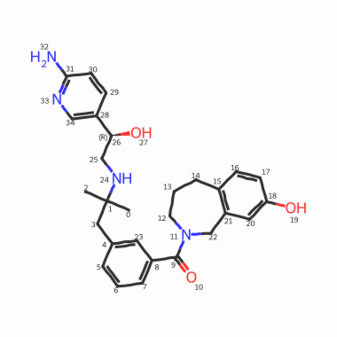 CC(C)(Cc1cccc(C(=O)N2CCCc3ccc(O)cc3C2)c1)NC[C@H](O)c1ccc(N)nc1